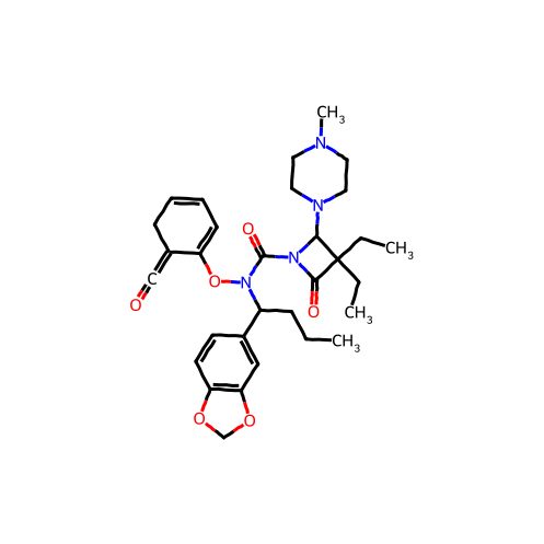 CCCC(c1ccc2c(c1)OCO2)N(OC1=CC=CCC1=C=O)C(=O)N1C(=O)C(CC)(CC)C1N1CCN(C)CC1